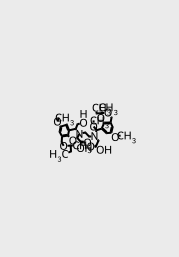 CCC1(C)OCc2cc(OC)cc(C(CO)N(CCN(CC(=O)O)C(OC)c3cc(OC)cc4c3OC(C)(CC)OC4)CC(=O)O)c2O1